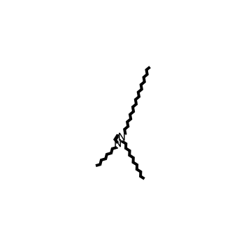 CCCCCCCCCCCCCCCCCCCN1C=CN(CCCCCCCC)C1CCCCCCCCCCC